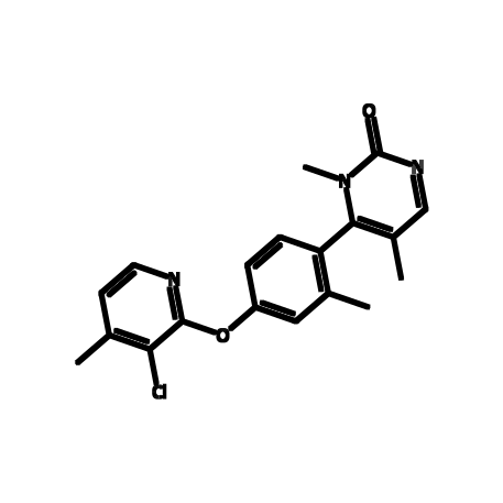 Cc1cc(Oc2nccc(C)c2Cl)ccc1-c1c(C)cnc(=O)n1C